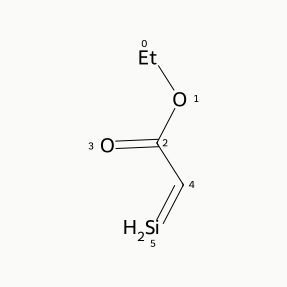 CCOC(=O)C=[SiH2]